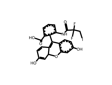 O=C(O)c1cccc(NC(=O)C(F)(F)CI)c1C1=C2C=CC(O)=CC2Oc2cc(O)ccc21